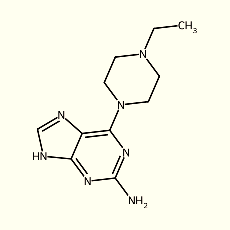 CCN1CCN(c2nc(N)nc3[nH]cnc23)CC1